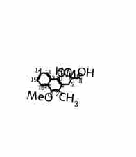 COc1c(C)c(CC(O)CO)c(OC)c2ccccc12